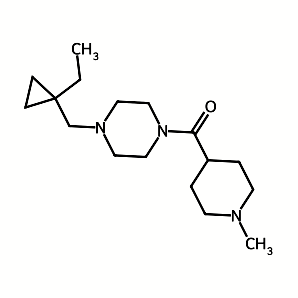 CCC1(CN2CCN(C(=O)C3CCN(C)CC3)CC2)CC1